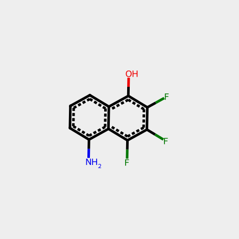 Nc1cccc2c(O)c(F)c(F)c(F)c12